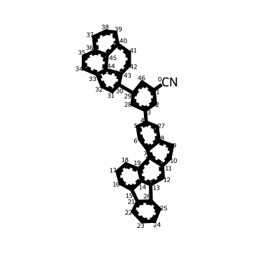 N#Cc1cc(-c2ccc3c(ccc4cc5c6c(cccc6c43)-c3ccccc3-5)c2)cc(-c2ccc3ccc4cccc5ccc2c3c45)c1